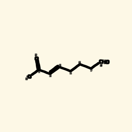 [O]C(=O)C=CCCCC=O